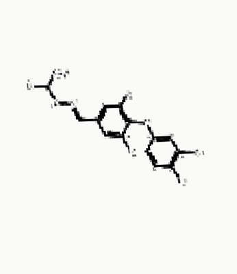 CCC(ON=Cc1cc(Br)c(Oc2ccc(O)c(C(C)CC)c2)c(Br)c1)C(=O)O